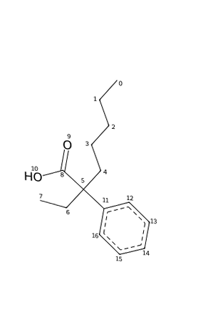 CCCCCC(CC)(C(=O)O)c1ccccc1